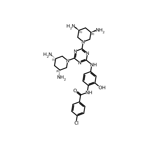 N[C@@H]1C[C@H](N)CN(c2nc(Nc3ccc(NC(=O)c4ccc(Cl)cc4)c(O)c3)nc(N3C[C@H](N)C[C@H](N)C3)n2)C1